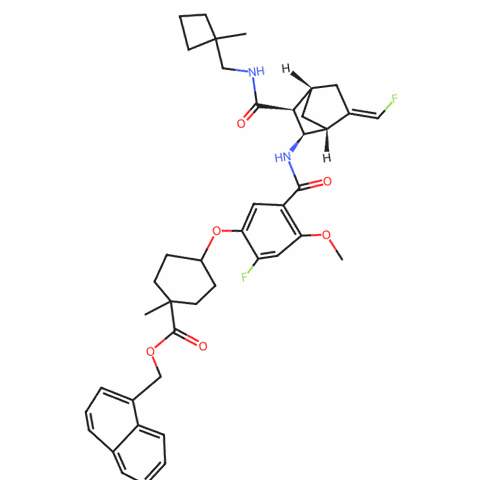 COc1cc(F)c(OC2CCC(C)(C(=O)OCc3cccc4ccccc34)CC2)cc1C(=O)N[C@H]1[C@@H](C(=O)NCC2(C)CCC2)[C@@H]2CC(=CF)[C@H]1C2